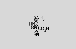 Cc1nnc(SCC2(C(=O)O)CS[C@@H]3C(NC(=O)Cc4csc(N)n4)C(=O)N3C2)s1